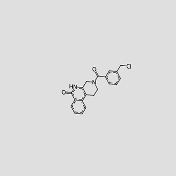 O=C(c1cccc(CCl)c1)N1CCc2c([nH]c(=O)c3ccccc23)C1